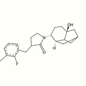 Cc1cccc(CC2CCN([C@@H]3CC[C@]4(O)CC5CC4[C@H]3C5)C2=O)c1F